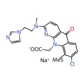 CSc1c(Cl)ccc2c(=O)c3ccc(N(C)CCn4ccnc4)nc3n(CC(=O)[O-])c12.[Na+]